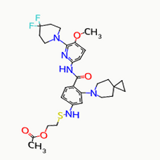 COc1ccc(NC(=O)c2ccc(NSCCOC(C)=O)cc2N2CCC3(CC2)CC3)nc1N1CCC(F)(F)CC1